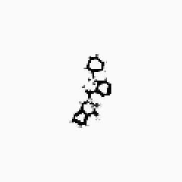 O=C1NN(C(=O)c2ccccc2NC2CCCCC2)Cc2ccccc21